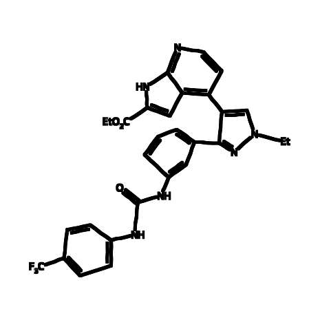 CCOC(=O)c1cc2c(-c3cn(CC)nc3-c3cccc(NC(=O)Nc4ccc(C(F)(F)F)cc4)c3)ccnc2[nH]1